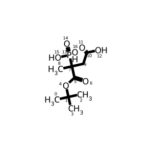 CC(C)(C)OC(=O)C(C)(CC(=O)O)P(=O)(O)O